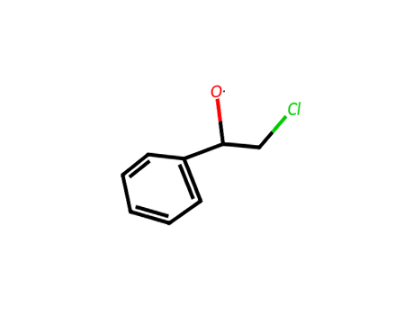 [O]C(CCl)c1ccccc1